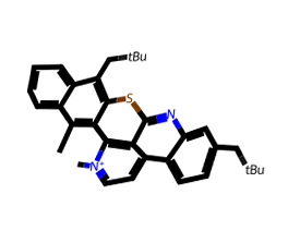 Cc1c2c(c(CC(C)(C)C)c3ccccc13)Sc1nc3cc(CC(C)(C)C)ccc3c3cc[n+](C)c-2c13